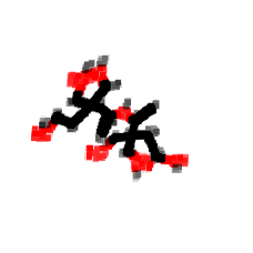 C=C(OC(=C)C(CO)(CO)CCO)C(CO)(CO)CCO